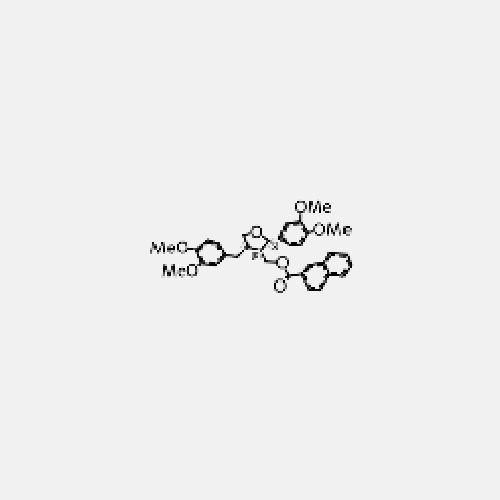 COc1ccc(C[C@H]2CO[C@H](c3ccc(OC)c(OC)c3)[C@H]2COC(=O)c2ccc3ccccc3c2)cc1OC